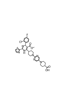 COC(=O)C1=C(C2CCN(c3ncc(N4CCC(C(=O)O)CC4)cn3)CC2)NC(c2nccs2)=NC1c1ccc(F)cc1Cl